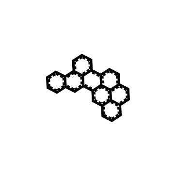 c1ccc2c(c1)cc1c3cc4cccc5ccc6ccc(c7cccc2c71)c3c6c54